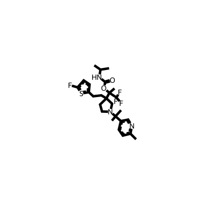 Cc1ccc(C(C)(C)N2CCC(CCc3ccc(F)s3)(C(C)(OC(=O)NC(C)C)C(F)(F)F)C2)cn1